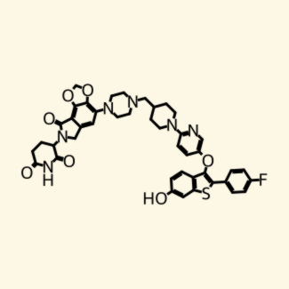 O=C1CCC(N2Cc3cc(N4CCN(CC5CCN(c6ccc(Oc7c(-c8ccc(F)cc8)sc8cc(O)ccc78)cn6)CC5)CC4)c4c(c3C2=O)OCO4)C(=O)N1